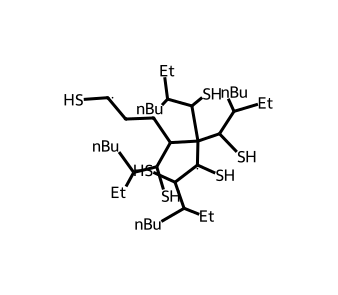 CCCCC(CC)C(S)[C](S)C(C(S)C(CC)CCCC)(C(S)C(CC)CCCC)C(CC[CH]S)C(S)C(CC)CCCC